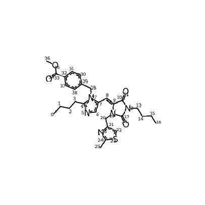 CCCCc1ncc(C=C2C(=O)N(CCCC)C(=O)N2Cc2csc(C)n2)n1Cc1ccc(C(=O)OC)cc1